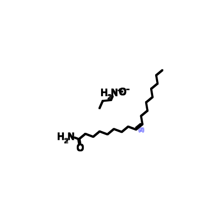 CCCCCCCC/C=C\CCCCCCCC(N)=O.CCC[NH2+][O-]